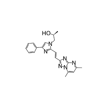 Cc1cc(C)n2nc(/C=C/c3nc(-c4ccccc4)cn3C[C@H](C)O)nc2n1